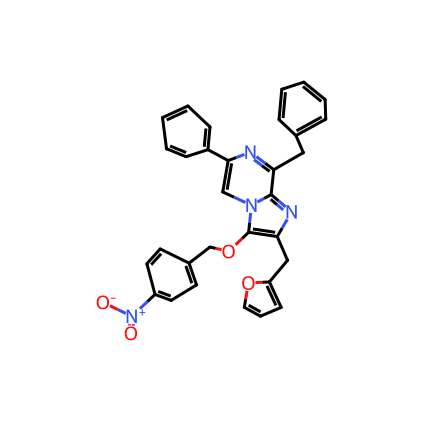 O=[N+]([O-])c1ccc(COc2c(Cc3ccco3)nc3c(Cc4ccccc4)nc(-c4ccccc4)cn23)cc1